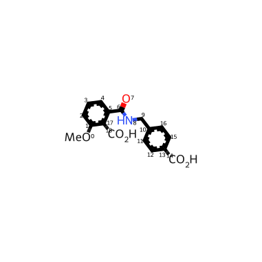 COc1cccc(C(=O)NCc2ccc(C(=O)O)cc2)c1C(=O)O